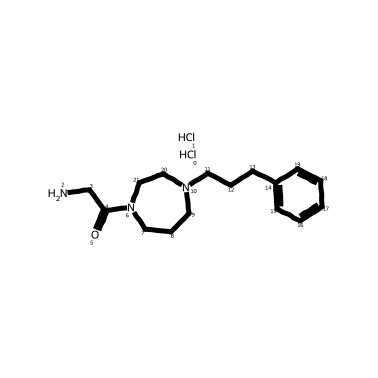 Cl.Cl.NCC(=O)N1CCCN(CCCc2ccccc2)CC1